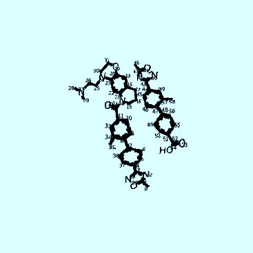 Cc1nc(-c2ccc(-c3ccc(C(=O)N4CCCc5cc6c(cc54)N(CCN(C)C)CCO6)cc3C)cc2)no1.Cc1nc(-c2ccc(-c3ccc(C(=O)O)cc3)c(C)c2)no1